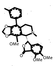 COc1ccc2c(c1OC)C(=O)O[C@@H]2C1c2c(c(-c3cccc(C)c3)c3c(c2OC)OCO3)CCN1C